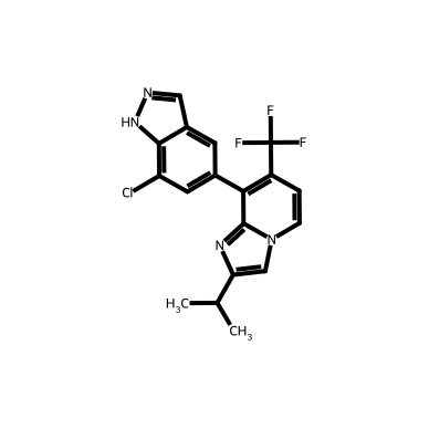 CC(C)c1cn2ccc(C(F)(F)F)c(-c3cc(Cl)c4[nH]ncc4c3)c2n1